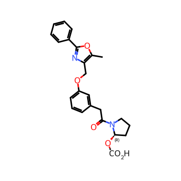 Cc1oc(-c2ccccc2)nc1COc1cccc(CC(=O)N2CCC[C@H]2OC(=O)O)c1